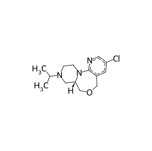 CC(C)N1CCN2c3ncc(Cl)cc3COC[C@@H]2C1